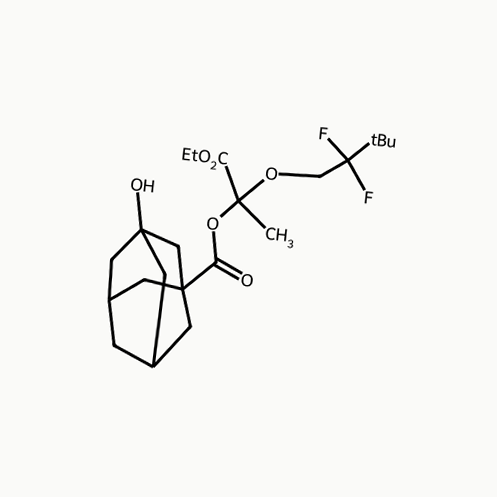 CCOC(=O)C(C)(OCC(F)(F)C(C)(C)C)OC(=O)C12CC3CC(CC(O)(C3)C1)C2